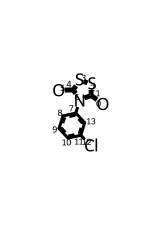 O=c1ssc(=O)n1-c1cccc(Cl)c1